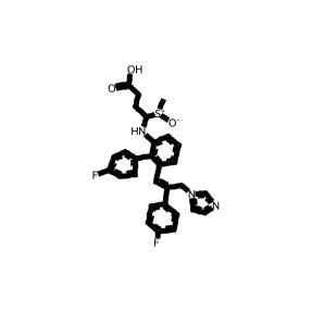 C[S+]([O-])C(CCC(=O)O)Nc1cccc(C=C(Cn2ccnc2)c2ccc(F)cc2)c1-c1ccc(F)cc1